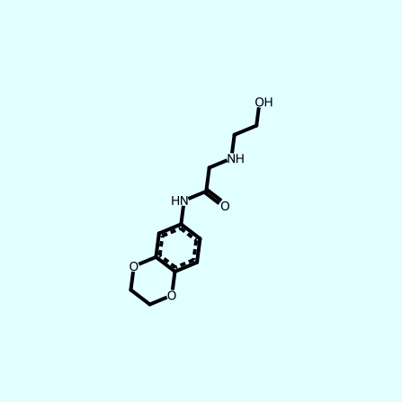 O=C(CNCCO)Nc1ccc2c(c1)OCCO2